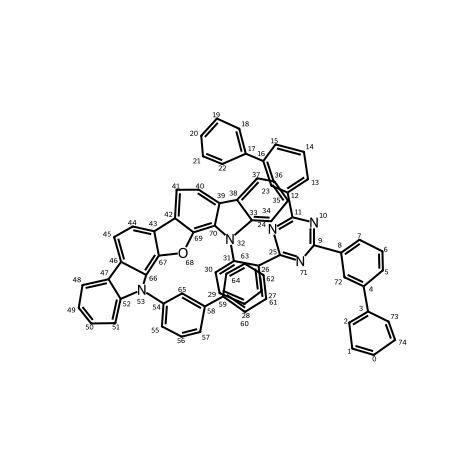 c1ccc(-c2cccc(-c3nc(-c4cccc(-c5ccccc5)c4)nc(-c4ccccc4-n4c5ccccc5c5ccc6c7ccc8c9ccccc9n(-c9cccc(-c%10ccccc%10)c9)c8c7oc6c54)n3)c2)cc1